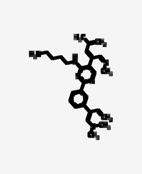 C=C/C(=C\N(C)C)c1cccc(-c2ncc(C(/C=N\C)=C/C(=C)C)c(NCCCCN)n2)c1